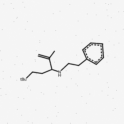 C=C(C)C(CCC(C)(C)C)NCCc1ccccc1